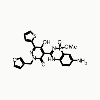 COP1(=O)N=C(c2c(O)c(-c3cccs3)nn(Cc3ccoc3)c2=O)Nc2ccc(N)cc21